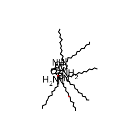 CCCCCCCCCCCCN(CCCCCCCCCCCC)CCC1C2(C(N)=O)CC3CC(C(N)=O)(C2)C(CCN(CCCCCCCCCCCC)CCCCCCCCCCCC)(CCN(CCCCCCCCCCCC)CCCCCCCCCCCC)C1(C(N)=O)C3